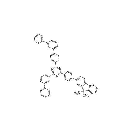 CC1(C)c2ccccc2-c2ccc(-c3ccc(-c4nc(-c5ccc(-c6cccc(-c7ccccc7)c6)cc5)nc(-c5cccc(-c6ccccc6)c5)n4)cc3)cc21